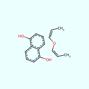 C/C=C\O/C=C\C.Oc1cccc2c(O)cccc12